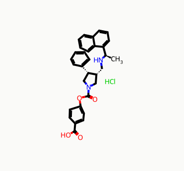 C[C@@H](NC[C@@H]1CN(C(=O)Oc2ccc(C(=O)O)cc2)C[C@@H]1c1ccccc1)c1cccc2ccccc12.Cl